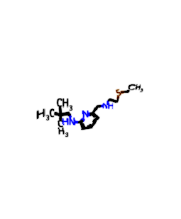 CCSCCNCc1cccc(NCC(C)(C)C)n1